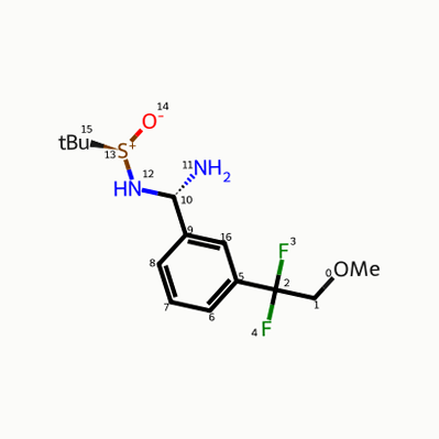 COCC(F)(F)c1cccc([C@@H](N)N[S@+]([O-])C(C)(C)C)c1